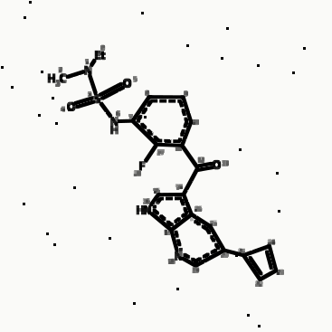 CCN(C)S(=O)(=O)Nc1cccc(C(=O)c2c[nH]c3ncc(C4=CC=C4)cc23)c1F